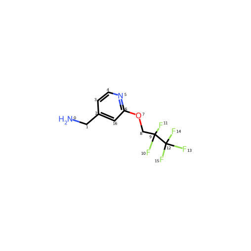 NCc1ccnc(OCC(F)(F)C(F)(F)F)c1